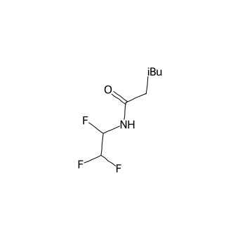 CCC(C)CC(=O)NC(F)C(F)F